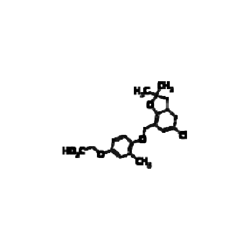 Cc1cc(OCC(=O)O)ccc1OCC1=C2OC(C)(C)CC2CC(Cl)=C1